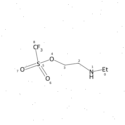 CCNCCOS(=O)(=O)C(F)(F)F